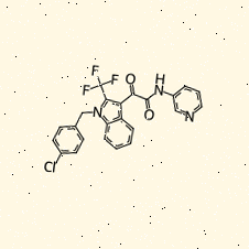 O=C(Nc1cccnc1)C(=O)c1c(C(F)(F)F)n(Cc2ccc(Cl)cc2)c2ccccc12